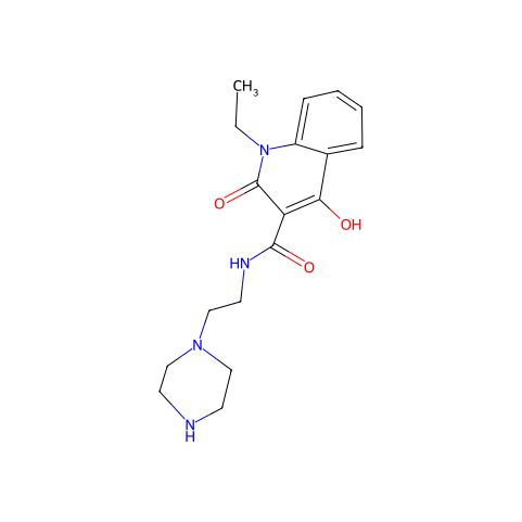 CCn1c(=O)c(C(=O)NCCN2CCNCC2)c(O)c2ccccc21